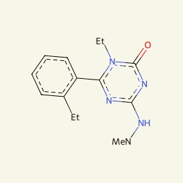 CCc1ccccc1-c1nc(NNC)nc(=O)n1CC